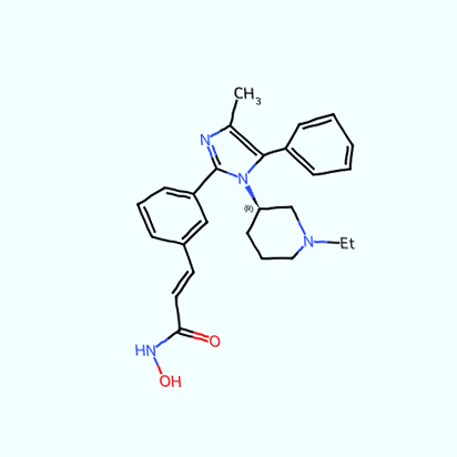 CCN1CCC[C@@H](n2c(-c3cccc(C=CC(=O)NO)c3)nc(C)c2-c2ccccc2)C1